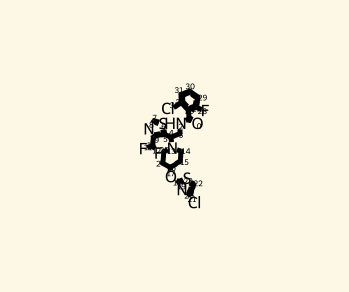 O=C(NCC(c1scnc1C(F)F)N1CCC(Oc2nc(Cl)cs2)CC1)c1c(F)cccc1Cl